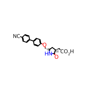 N#Cc1ccc(-c2ccc(OC[C@@H]3C[C@@H](CC(=O)O)C(=O)N3)cc2)cc1